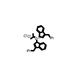 C[C](C)=[Zr+2]([CH]1C=C(CC(C)C)c2ccccc21)[CH]1C=C(CC(C)C)c2ccccc21.[Cl-].[Cl-]